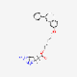 CC(C)(N)CC(C)(N)C(C)(C)C(=O)OCCCCCCOc1ccc2c(c1)C=C(c1ccccc1)CCC2